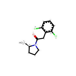 O=C(O)[C@@H]1CCCN1C(=O)Cc1c(Cl)cccc1Cl